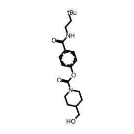 CC(C)(C)CCNC(=O)c1ccc(OC(=O)N2CCC(CO)CC2)cc1